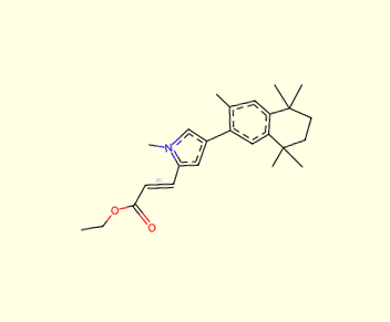 CCOC(=O)/C=C/c1cc(-c2cc3c(cc2C)C(C)(C)CCC3(C)C)cn1C